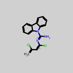 C=C(Cl)/C=C(Cl)\N=C(/N)n1c2ccccc2c2ccccc21